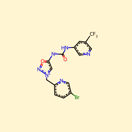 O=C([N-]c1c[n+](Cc2ccc(Br)cn2)no1)Nc1cncc(C(F)(F)F)c1